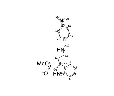 COC(=O)c1[nH]c2ccccc2c1CCNCc1ccc(N(C)C)cc1